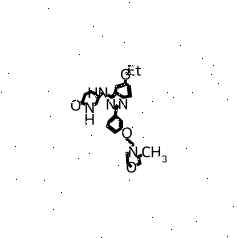 CCOc1ccc2nc(-c3cccc(OCCN4CCOCC4C)c3)nc(NC3CCC(=O)NC3)c2c1